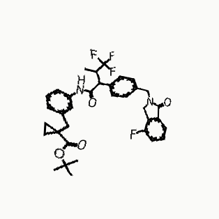 CC(C(C(=O)Nc1cccc(CC2(C(=O)OC(C)(C)C)CC2)c1)c1ccc(CN2Cc3c(F)cccc3C2=O)cc1)C(F)(F)F